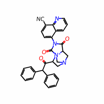 N#Cc1ccc(N2C(=O)C3CN4CC(C(=O)C(c5ccccc5)c5ccccc5)[N+]3(C4)C2=O)c2cccnc12